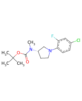 CN(C(=O)OC(C)(C)C)[C@H]1CCN(c2ccc(Cl)cc2F)C1